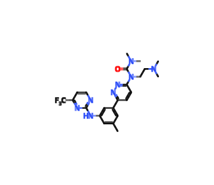 Cc1cc(Nc2nccc(C(F)(F)F)n2)cc(-c2ccc(N(CCN(C)C)C(=O)N(C)C)nn2)c1